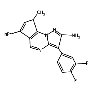 CCCC1=CC(C)c2c1cnc1c(-c3ccc(F)c(F)c3)c(N)nn21